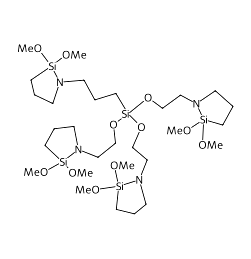 CO[Si]1(OC)CCCN1CCC[Si](OCCN1CCC[Si]1(OC)OC)(OCCN1CCC[Si]1(OC)OC)OCCN1CCC[Si]1(OC)OC